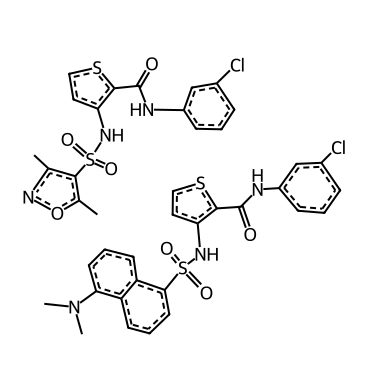 CN(C)c1cccc2c(S(=O)(=O)Nc3ccsc3C(=O)Nc3cccc(Cl)c3)cccc12.Cc1noc(C)c1S(=O)(=O)Nc1ccsc1C(=O)Nc1cccc(Cl)c1